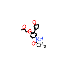 CC(=O)Nc1ccc(OCC2CO2)c(C2=CC(=O)CC2)c1